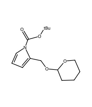 CC(C)(C)OC(=O)n1cccc1COC1CCCCO1